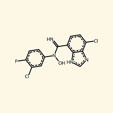 N=C(c1ccc(Cl)c2nc[nH]c12)N(O)c1ccc(F)c(Cl)c1